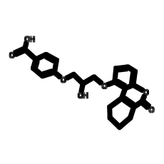 O=C(O)c1ccc(OCC(O)COc2cccc3oc(=O)c4c(c23)CCCC4)cc1